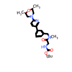 C[C@@H]1CN(c2ccc(-c3cccc(CN(C)C(=O)CNC(=O)OC(C)(C)C)c3)cn2)C[C@H](C)O1